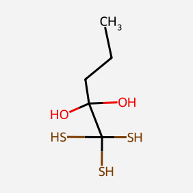 CCCC(O)(O)C(S)(S)S